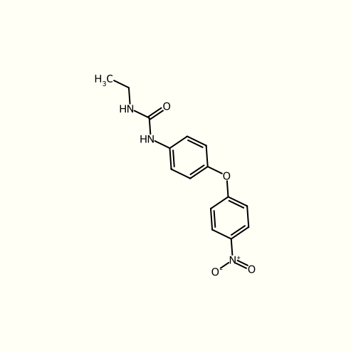 CCNC(=O)Nc1ccc(Oc2ccc([N+](=O)[O-])cc2)cc1